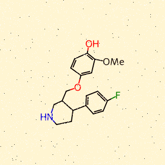 COc1cc(OCC2CNCCC2c2ccc(F)cc2)ccc1O